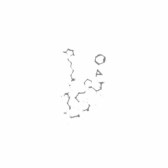 CCOC(=O)[C@]1(NC(=O)[C@H](C)[C@@H](OC)[C@@H]2CCCN2C(=O)C[C@@H](OC)[C@H]([C@@H](C)CC)N(C)[C@H](C(=O)NC(=O)[C@H](C(C)C)N(C)CCCC(=O)NNC(=O)CCCCCN2C(=O)C=CC2=O)C(C)C)C[C@@H]1c1ccccc1